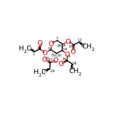 C=CC(=O)OC1OC[C@@H](OC(=O)C=C)C(OC(=O)C=C)[C@@H]1OC(=O)C=C